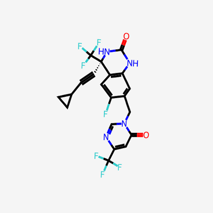 O=C1Nc2cc(Cn3cnc(C(F)(F)F)cc3=O)c(F)cc2[C@@](C#CC2CC2)(C(F)(F)F)N1